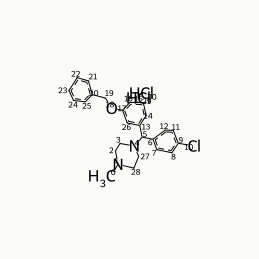 CN1CCN(C(c2ccc(Cl)cc2)c2cccc(OCc3ccccc3)c2)CC1.Cl.Cl